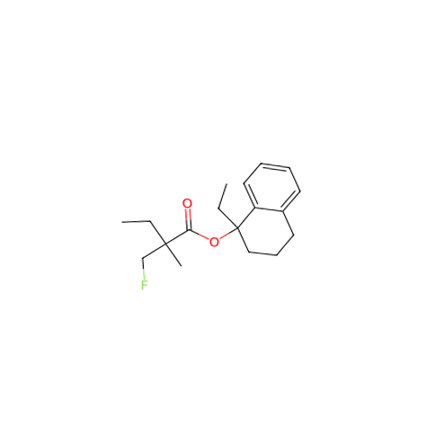 CCC(C)(CF)C(=O)OC1(CC)CCCc2ccccc21